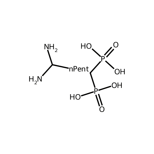 CCCCCC(N)N.O=P(O)(O)CP(=O)(O)O